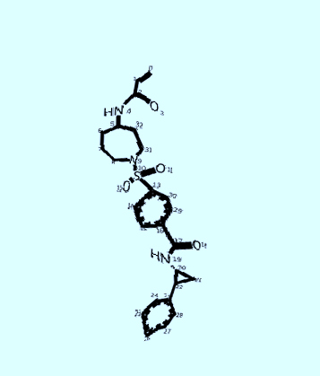 C=CC(=O)NC1CCCN(S(=O)(=O)c2ccc(C(=O)N[C@@H]3CC3c3ccccc3)cc2)CC1